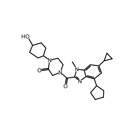 Cn1c(C(=O)N2CCN(C3CCC(O)CC3)C(=O)C2)nc2c(C3CCCC3)cc(C3CC3)cc21